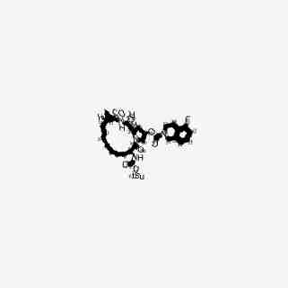 CC(C)(C)OC(=O)N[C@H]1CCCCC/C=C/[C@@H]2C[C@@]2(C(=O)O)NC(=O)[C@@H]2C[C@@H](OC(=O)N3CCc4c(F)cccc4C3)CN2C1=O